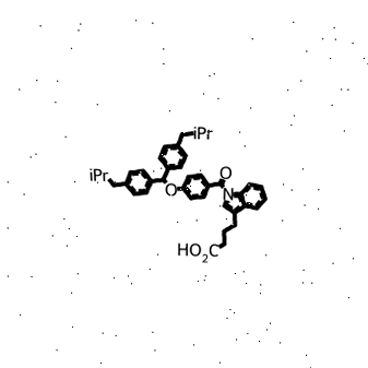 CC(C)Cc1ccc(C(Oc2ccc(C(=O)n3cc(CCCC(=O)O)c4ccccc43)cc2)c2ccc(CC(C)C)cc2)cc1